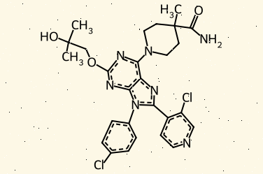 CC(C)(O)COc1nc(N2CCC(C)(C(N)=O)CC2)c2nc(-c3ccncc3Cl)n(-c3ccc(Cl)cc3)c2n1